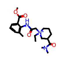 CC[N+]1(CC(=O)Nc2c(C)cccc2C(=O)OC)CCCC(C(=O)N(C)C)C1